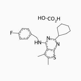 Cc1sc2nc(C3CCCCC3)nc(NCc3ccc(F)cc3)c2c1C.O=C(O)O